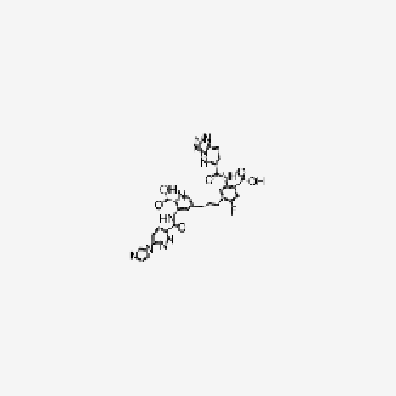 O=C(Nc1cc(CCCc2cnc(C(=O)O)c(NC(=O)c3ccc(-n4ccnc4)nn3)c2)c(F)cc1C(=O)O)c1ccc2nnnn2n1